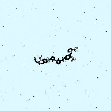 Cc1c(-c2nc3cc(CN4CC(=CC#N)C4)c(OC(F)F)cc3o2)cccc1-c1cccc(-c2nc3cc(CN4CCC[C@H]4C(=O)O)c(OC(F)F)cc3o2)c1C